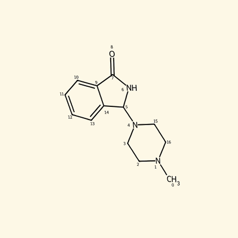 CN1CCN(C2NC(=O)c3ccccc32)CC1